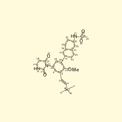 COc1c(C#C[Si](C)(C)C)cc(-n2c(=O)cc[nH]c2=O)cc1-c1ccc2cc(NS(C)(=O)=O)ccc2c1